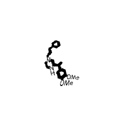 COc1ccc(C(C)C2CN(CCCc3ccccc3)CCN2)cc1OC